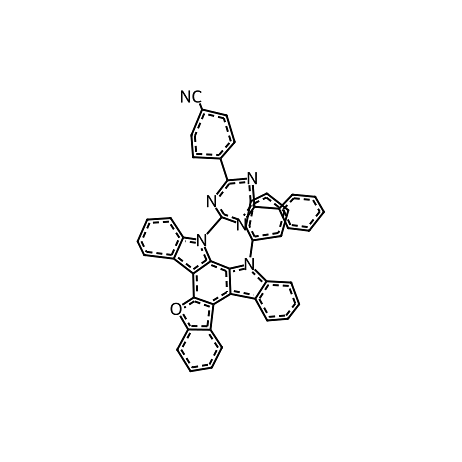 N#Cc1ccc(-c2nc(-c3ccccc3)nc(-n3c4ccccc4c4c5oc6ccccc6c5c5c6ccccc6n(-c6ccccc6)c5c43)n2)cc1